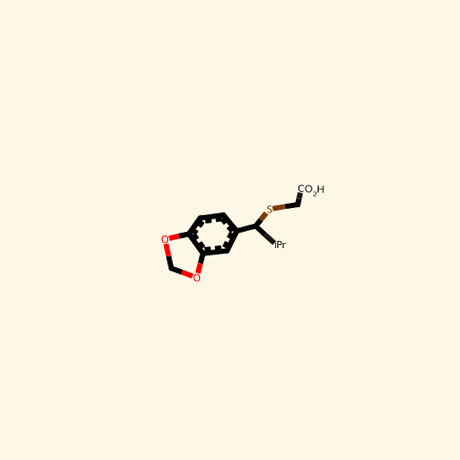 CC(C)C(SCC(=O)O)c1ccc2c(c1)OCO2